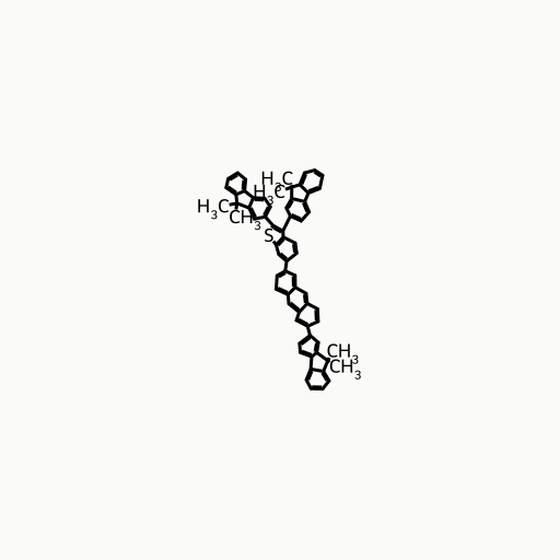 CC1(C)c2ccccc2-c2ccc(-c3ccc4cc5cc(-c6ccc7c(-c8ccc9c(c8)C(C)(C)c8ccccc8-9)c(-c8ccc9c(c8)C(C)(C)c8ccccc8-9)sc7c6)ccc5cc4c3)cc21